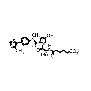 Cc1ncsc1-c1ccc(N(C)C(=O)[C@@H]2C[C@@H](O)CN2C(=O)[C@@H](NC(=O)CCCCC(=O)O)C(C)(C)C)cc1